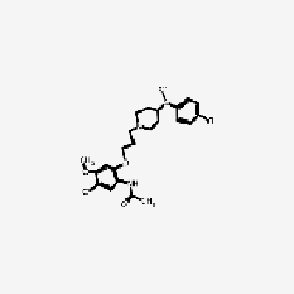 COc1cc(OCCCN2CCC([S+]([O-])c3ccc(Cl)cc3)CC2)c(NC(C)=O)cc1Cl